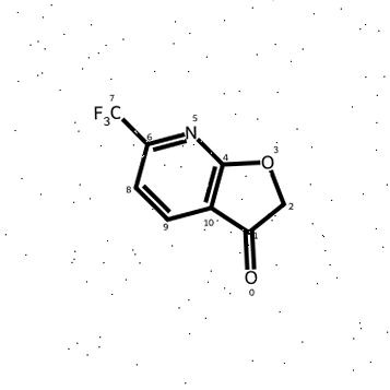 O=C1COc2nc(C(F)(F)F)ccc21